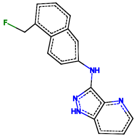 FCc1cccc2cc(Nc3n[nH]c4cccnc34)ccc12